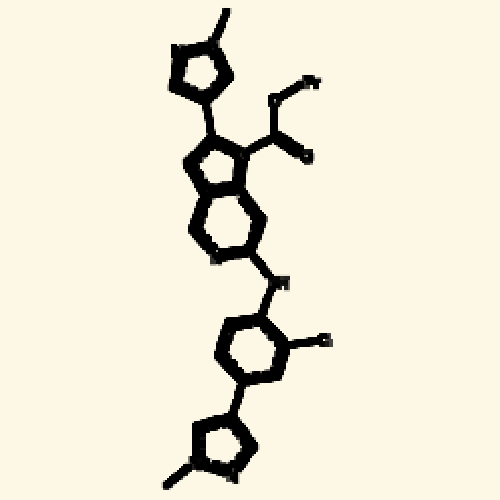 CC(C)OC(=O)n1c(-c2cnn(C)c2)cc2cnc(Nc3ccc(-c4cnn(C)c4)cc3Cl)cc21